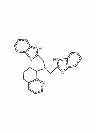 c1cnc2c(c1)CCCC2N(Cc1nc2ccccc2[nH]1)Cc1nc2ccccc2[nH]1